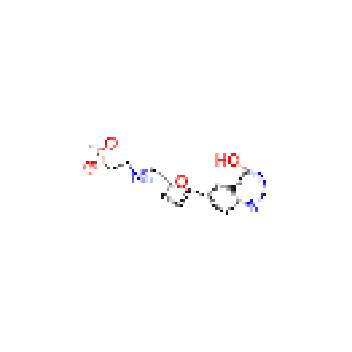 CS(=O)(=O)CC/N=C/c1ccc(-c2ccc3ncnc(O)c3c2)o1